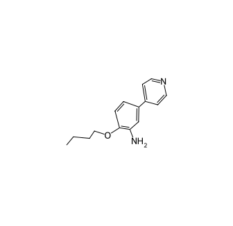 CCCCOc1ccc(-c2ccncc2)cc1N